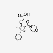 Cc1c(-c2ccccc2)sc(C(=O)N2CCOCC2)c1OCC(=O)O